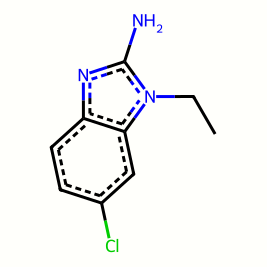 CCn1c(N)nc2ccc(Cl)cc21